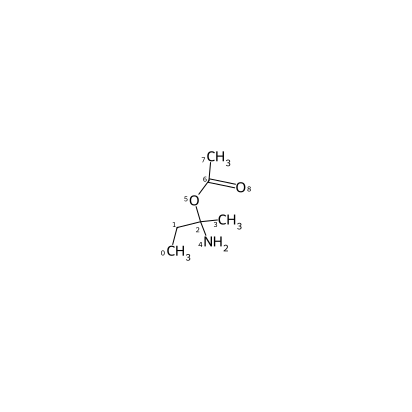 CCC(C)(N)OC(C)=O